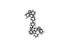 c1ccc(-c2c3c(cc4c(-c5ccc(-c6ccc(-c7cccc8oc9ccccc9c78)cc6)cc5)nc5ccccc5c24)oc2ccccc23)cc1